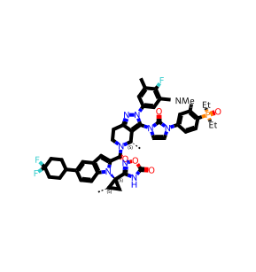 CCP(=O)(CC)c1ccc(-n2ccn(-c3c4c(nn3-c3cc(C)c(F)c(C)c3)CCN(C(=O)c3cc5cc(C6CCC(F)(F)CC6)ccc5n3[C@@]3(c5noc(=O)[nH]5)C[C@@H]3C)[C@H]4C)c2=O)cc1NC